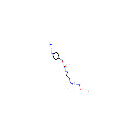 CC(C)(C)OC(=O)NC(CCCCNC(=O)OCc1ccc(N=[N+]=[N-])cc1)C(=O)O